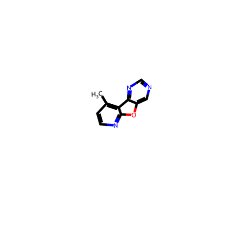 Cc1ccnc2oc3cncnc3c12